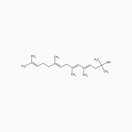 CC(C)=CCC/C(C)=C/C/C(C)=C/C(C)=C/CC(C)(C)O